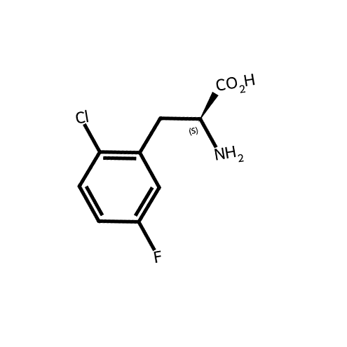 N[C@@H](Cc1cc(F)ccc1Cl)C(=O)O